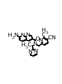 Cc1nc(CN(C(=O)c2cnc3nc(N)ccc3c2)[C@H](C)c2ncccn2)ccc1C#N